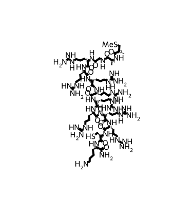 CSC[C@H](C)C(=O)N[C@@H](C)C(=O)NCC(=O)N[C@H](CCCNC(=N)N)C(=O)N[C@H](CCCNC(=N)N)C(=O)N[C@H](CCCNC(=N)N)C(=O)N[C@H](CCCNC(=N)N)C(=O)N[C@H](CCCNC(=N)N)C(=O)N[C@H](CCCNC(=N)N)C(=O)N[C@H](CCCNC(=N)N)C(=O)N[C@H](CCCNC(=N)N)C(=O)N[C@H](CS)C(=O)N[C@H](CCCCN)C(N)=O